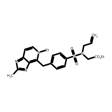 C=CCN(CC(=O)OCC)S(=O)(=O)c1ccc(Cc2c3nc(C)nc-3ccn2CC)cc1